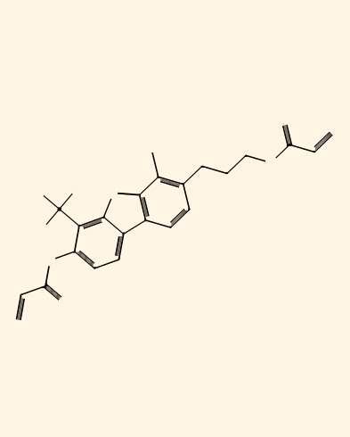 C=CC(=O)OCCCc1ccc2c(sc3c(C(F)(F)F)c(OC(=O)C=C)ccc32)c1C